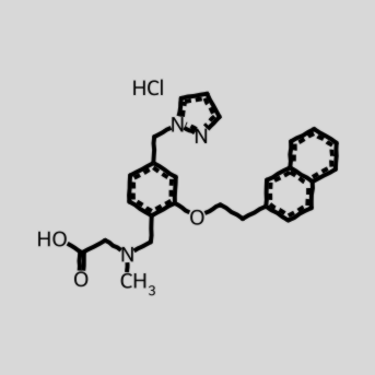 CN(CC(=O)O)Cc1ccc(Cn2cccn2)cc1OCCc1ccc2ccccc2c1.Cl